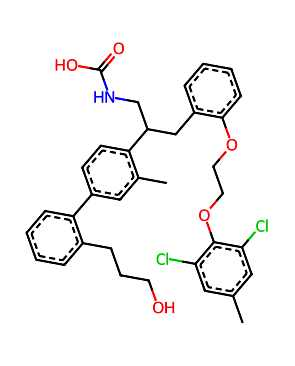 Cc1cc(Cl)c(OCCOc2ccccc2CC(CNC(=O)O)c2ccc(-c3ccccc3CCCO)cc2C)c(Cl)c1